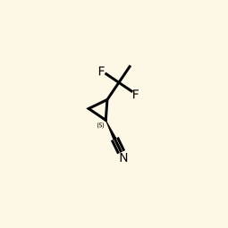 CC(F)(F)C1C[C@@H]1C#N